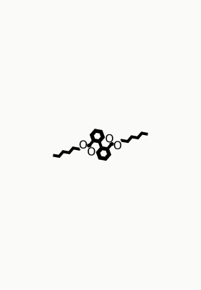 CCCCCCOC(=O)c1ccccc1-c1ccccc1C(=O)OCCCCCC